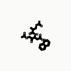 CC(=O)OCC(=O)C(CC(=O)O)NC(=O)C(C)CSC(C)=O.c1ccc2ccccc2c1